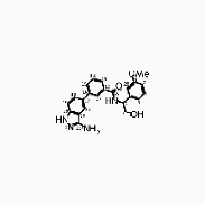 COc1cccc(C(CO)NC(=O)c2cccc(-c3ccc4[nH]nc(N)c4c3)c2)c1